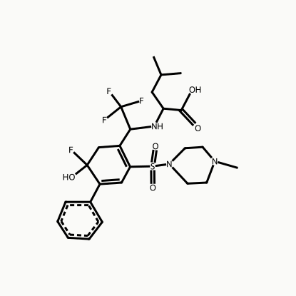 CC(C)CC(NC(C1=C(S(=O)(=O)N2CCN(C)CC2)C=C(c2ccccc2)C(O)(F)C1)C(F)(F)F)C(=O)O